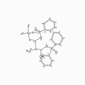 CC(OP(=O)(c1ccccc1)c1ccccc1)C(C)C(CC(F)(F)F)OC(=O)c1ccccc1